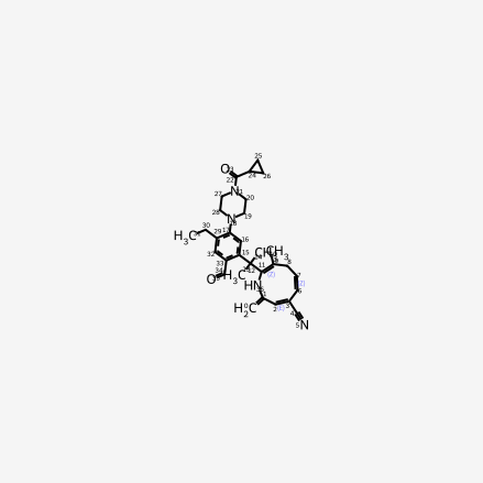 C=C1/C=C(C#N)\C=C/C/C(C)=C(/C(C)(C)c2cc(N3CCN(C(=O)C4CC4)CC3)c(CC)cc2C=O)N1